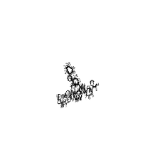 C=CC(=O)N1CCC[C@@H](n2nc(-c3ccc(Oc4ccccc4)cc3)c3c(NC(=O)OC(OC(=O)C(C)C)C(C)C)ncnc32)C1